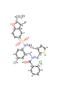 CCOC(=O)c1oc2ccc(S(=O)(=O)N(CC)c3ccc(Cl)cc3CN(Cc3sccc3C)C(=O)c3ccccc3Cl)cc2c1C